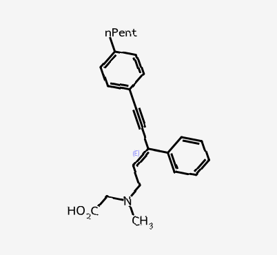 CCCCCc1ccc(C#C/C(=C/CN(C)CC(=O)O)c2ccccc2)cc1